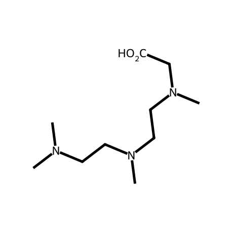 CN(C)CCN(C)CCN(C)CC(=O)O